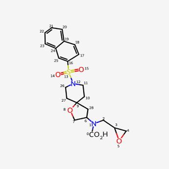 O=C(O)N(CC1CO1)C1COC2(CCN(S(=O)(=O)c3ccc4ccccc4c3)CC2)C1